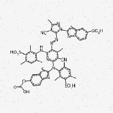 Cc1cc(C)c(S(=O)(=O)O)c(C)c1Nc1nc(N(c2nc3ccc(OS(=O)O)cc3s2)c2c(C)cc(C)c(S(=O)(=O)O)c2C)c(C#N)c(C)c1N=Nc1c(C#N)c(C)nn1-c1nc2ccc(S(=O)(=O)O)cc2s1